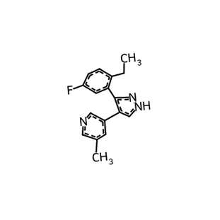 CCc1ccc(F)cc1-c1n[nH]cc1-c1cncc(C)c1